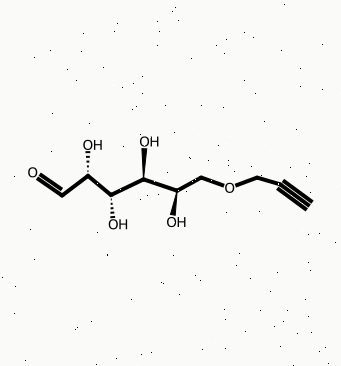 C#CCOC[C@@H](O)[C@H](O)[C@H](O)[C@@H](O)C=O